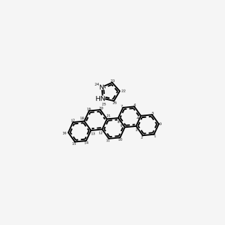 c1ccc2c(c1)ccc1c2ccc2c3ccccc3ccc21.c1cn[nH]c1